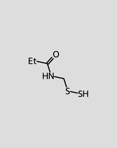 CCC(=O)NCSS